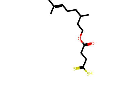 CC(C)=CCCC(C)CCOC(=O)CCC(=S)S